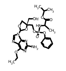 CCOc1nc(N)nc2c1ncn2C1OC[C@](CO)(COP(=O)(NC(C)C(=O)OC(C)C)Oc2ccccc2)O1